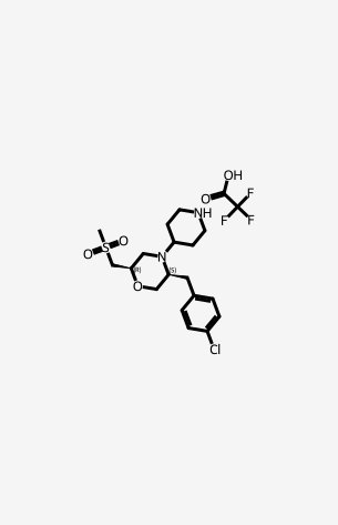 CS(=O)(=O)C[C@H]1CN(C2CCNCC2)[C@@H](Cc2ccc(Cl)cc2)CO1.O=C(O)C(F)(F)F